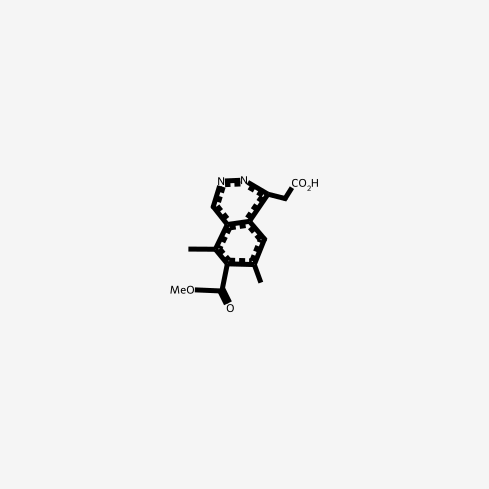 COC(=O)c1c(C)cc2c(CC(=O)O)nncc2c1C